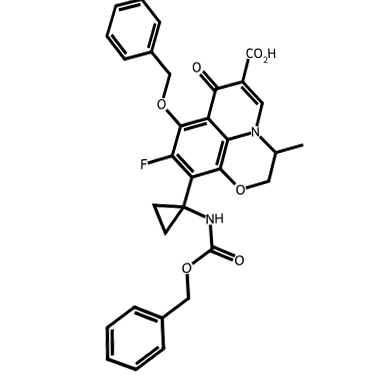 CC1COc2c(C3(NC(=O)OCc4ccccc4)CC3)c(F)c(OCc3ccccc3)c3c(=O)c(C(=O)O)cn1c23